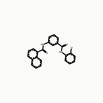 O=C(Nc1ccccc1Cl)c1cccc(NC(=O)c2cccc3ccccc23)c1